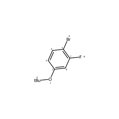 CC(C)(C)Oc1ccc(Br)c(F)c1